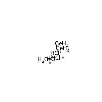 Cl.Cl.Cl.[GeH4].[GeH4].[GeH4]